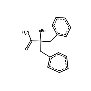 CCCCC(Cc1ccccc1)(Cc1ccccc1)C(N)=O